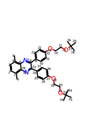 Cc1ccc(C)c2nc(-c3ccc(OCCOC(C)(C)C)cc3)c(-c3ccc(OCCOC(C)(C)C)cc3)nc12